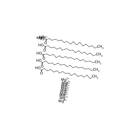 CCCCCCCCCCCCCCCCCC(=O)O.CCCCCCCCCCCCCCCCCC(=O)O.CCCCCCCCCCCCCCCCCC(=O)O.CCCCCCCCCCCCCCCCCC(=O)O.CCCCCCCCCCCCCCCCCC(=O)O.[Mg+2].[Mg+2].[Mg+2].[Mg+2].[Mg+2].[Mg+2].[Mg+2].[Mg+2].[Mg+2].[Mg+2].[Mg+2].[Mg+2]